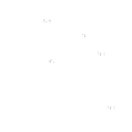 NC(=O)c1cnc(Nc2ccc(N)cc2)cc1NCc1ccccc1